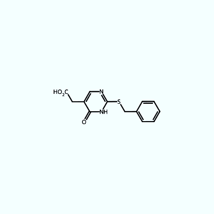 O=C(O)Cc1cnc(SCc2ccccc2)[nH]c1=O